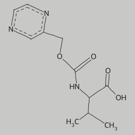 CC(C)C(NC(=O)OCc1cnccn1)C(=O)O